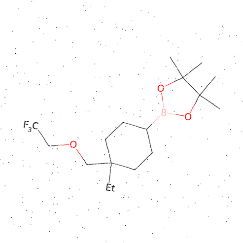 CCC1(COCC(F)(F)F)CCC(B2OC(C)(C)C(C)(C)O2)CC1